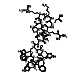 CCCC[C@H](NC(=O)[C@H](CCC(=O)O)NC(=O)[C@@H](CCCNC(=N)N)NC(=O)[C@@H]1CCCN1C(=O)[C@@H]1CCCN1C(=O)[C@H](CS)NC(=O)[C@H](CCc1c[nH]c2ccccc12)NC(=O)[C@H](Cc1c[nH]cn1)NC(=O)[C@@H](Cc1ccccc1)NC(=O)[C@H](Cc1c[nH]cn1)NC(=O)[C@@H]1CCCN1C(=O)[C@H](CS)NC(C)=O)C(=O)N[C@H](CCCNC(=N)N)C(=O)N[C@@H](CCCNC(=N)N)C(N)=O